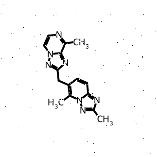 Cc1nc2ccc(Cc3nc4c(C)nccn4n3)c(C)n2n1